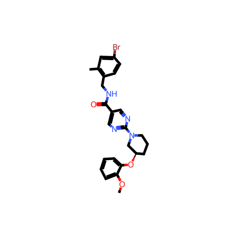 COc1ccccc1O[C@@H]1CCCN(c2ncc(C(=O)NCc3ccc(Br)cc3C)cn2)C1